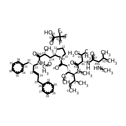 CC[C@H](C)[C@@H]([C@@H](CC(=O)N1CCC[C@H]1[C@H](OC)[C@@H](C)C(=O)N[C@H](C=CCc1ccccc1)Cc1ccccc1)OC)N(C)C(=O)[C@@H](NC(=O)[C@@H](NC)C(C)C)C(C)C.O=C(O)C(F)(F)F